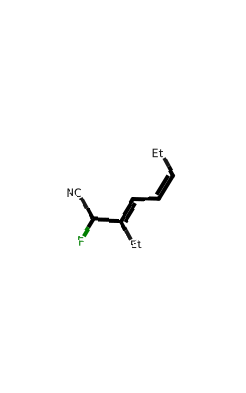 CC/C=C\C=C(/CC)C(F)C#N